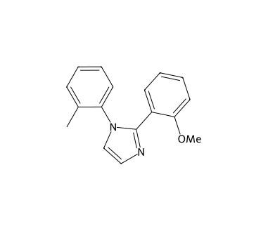 COc1ccccc1-c1nccn1-c1ccccc1C